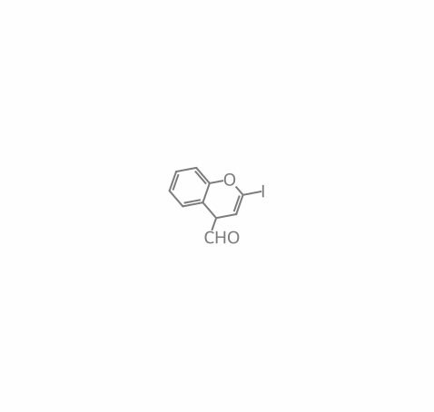 O=CC1C=C(I)Oc2ccccc21